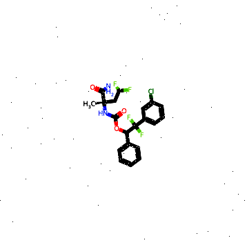 C[C@@](CC(F)F)(NC(=O)OC(c1ccccc1)C(F)(F)c1cccc(Cl)c1)C(N)=O